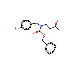 CC(=O)CCN(Cc1ccc(Br)cc1)C(=O)OCc1ccccc1